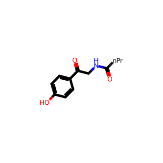 CCCC(=O)NCC(=O)c1ccc(O)cc1